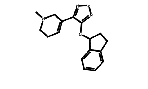 CN1CCC=C(c2nsnc2OC2CCc3ccccc32)C1